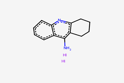 I.I.Nc1c2c(nc3ccccc13)CCCC2